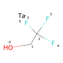 OCC(F)(F)F.[Ta]